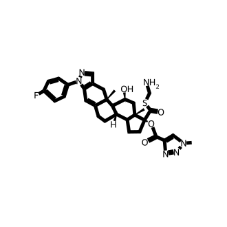 Cn1cc(C(=O)O[C@]2(C(=O)SCN)CCC3[C@@H]4CCC5=Cc6c(cnn6-c6ccc(F)cc6)C[C@]5(C)C4[C@@H](O)C[C@@]32C)nn1